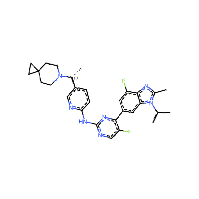 Cc1nc2c(F)cc(-c3nc(Nc4ccc([C@@H](C)N5CCC6(CC5)CC6)cn4)ncc3F)cc2n1C(C)C